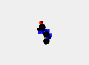 COc1ccc2c(Nc3ccc4c(c3)ncn4-c3ccccc3)nnc(C)c2c1